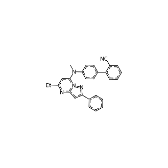 CCc1cc(N(C)c2ccc(-c3ccccc3C#N)cc2)n2nc(-c3ccccc3)cc2n1